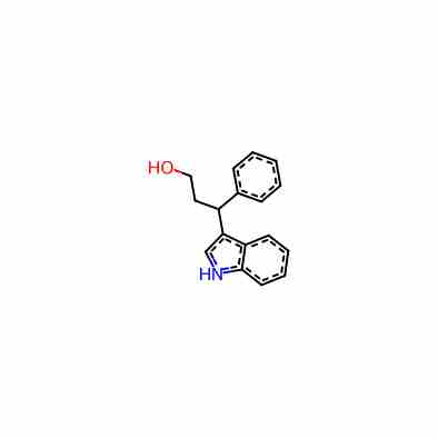 OCCC(c1ccccc1)c1c[nH]c2ccccc12